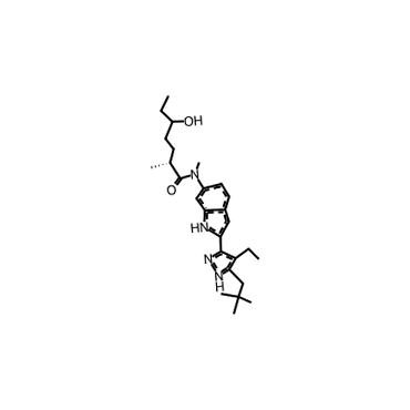 CCc1c(-c2cc3ccc(N(C)C(=O)[C@H](C)CCC(O)CC)cc3[nH]2)n[nH]c1CC(C)(C)C